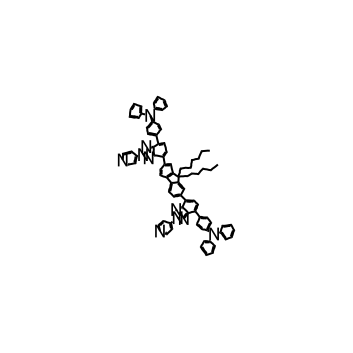 CCCCCCC1(CCCCCC)c2cc(-c3ccc(-c4ccc(N(c5ccccc5)c5ccccc5)cc4)c4nn(-c5ccncc5)nc34)ccc2-c2ccc(-c3ccc(-c4ccc(N(c5ccccc5)c5ccccc5)cc4)c4nn(-c5ccncc5)nc34)cc21